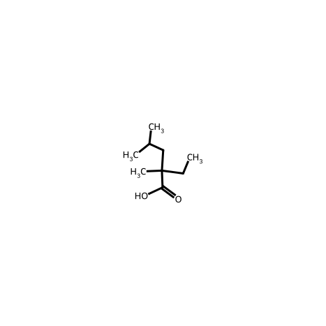 CCC(C)(CC(C)C)C(=O)O